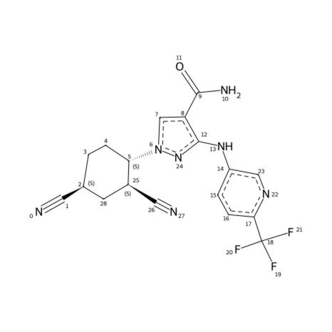 N#C[C@H]1CC[C@H](n2cc(C(N)=O)c(Nc3ccc(C(F)(F)F)nc3)n2)[C@@H](C#N)C1